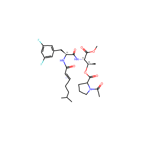 COC(=O)[C@@H](NC(=O)[C@H](Cc1cc(F)cc(F)c1)NC(=O)/C=C/CCC(C)C)[C@@H](C)OC(=O)C1CCCN1C(C)=O